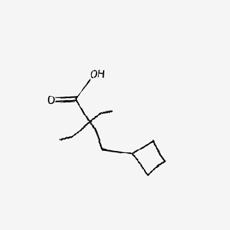 CC(C)(CC1CCC1)C(=O)O